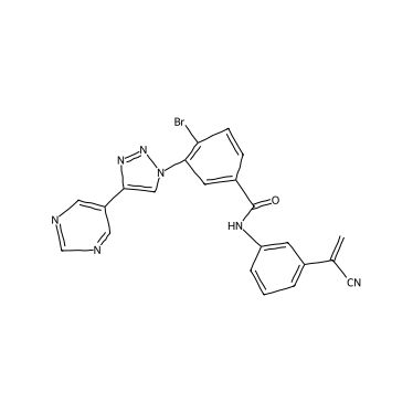 C=C(C#N)c1cccc(NC(=O)c2ccc(Br)c(-n3cc(-c4cncnc4)nn3)c2)c1